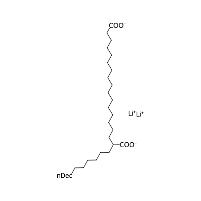 CCCCCCCCCCCCCCCCC(CCCCCCCCCCCCCCCC(=O)[O-])C(=O)[O-].[Li+].[Li+]